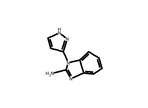 Nc1nc2ccccc2n1-c1cc[nH]n1